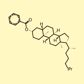 CC(C)CCC[C@@H](C)[C@H]1CC[C@H]2[C@@H]3CC[C@H]4C[C@@H](OC(=O)c5ccccc5)CC[C@]4(C)[C@H]3CC[C@]12C